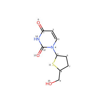 O=c1ccn(C2CCC(CO)S2)c(=O)[nH]1